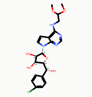 COC(CNc1ncnc2c1ccn2[C@@H]1O[C@H]([C@H](O)c2ccc(Cl)cc2)[C@@H](O)[C@H]1O)OC